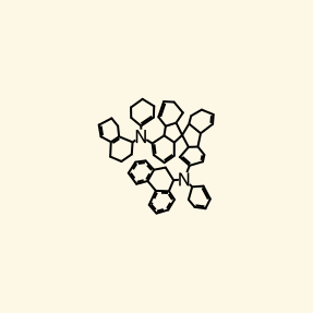 C1=CCC(N(C2=CC3C(C=C2)C2C=CCCC2C32C3C=CC=C(N(C4=CCCCC4)C4CCCC5=C4CCC=C5)C3C3C=CCCC32)C2Cc3ccccc3-c3ccccc32)C=C1